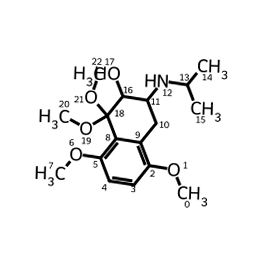 COc1ccc(OC)c2c1CC(NC(C)C)C(O)C2(OC)OC